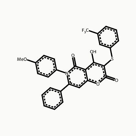 COc1ccc(-n2c(-c3ccccc3)cc3oc(=O)c(Sc4cccc(C(F)(F)F)c4)c(O)c3c2=O)cc1